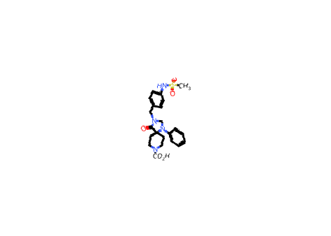 CS(=O)(=O)Nc1ccc(CN2CN(c3ccccc3)C3(CCN(C(=O)O)CC3)C2=O)cc1